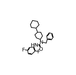 O=C(Nc1cc(F)ccc1F)N(Cc1ccccc1)C1CCC(C2CCCCC2)CC1